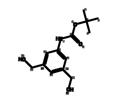 CC(C)(C)OC(=O)Nc1cc(CO)cc(CO)c1